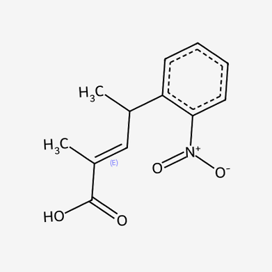 C/C(=C\C(C)c1ccccc1[N+](=O)[O-])C(=O)O